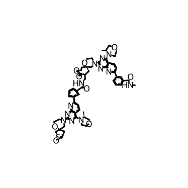 CNC(=O)c1cccc(-c2ccc3c(N4CCOC[C@@H]4C)nc(N4CCO[C@]5(CC(CNC(=O)c6cccc(-c7ccc8c(N9CCOC[C@@H]9C)nc(N9CCOC%10(CC[S+]([O-])C%10)C9)nc8n7)c6)S(=O)(=O)C5)C4)nc3n2)c1